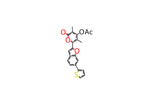 CC(=O)Oc1c(C)c(-c2cc3ccc(-c4cccs4)cc3o2)oc(=O)c1C